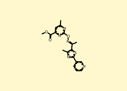 COC(=O)c1cc(C)nc(O/N=C(\C)c2sc(-c3cccnc3)nc2C)n1